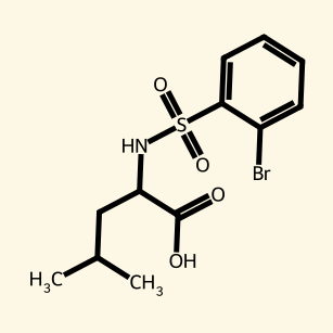 CC(C)CC(NS(=O)(=O)c1ccccc1Br)C(=O)O